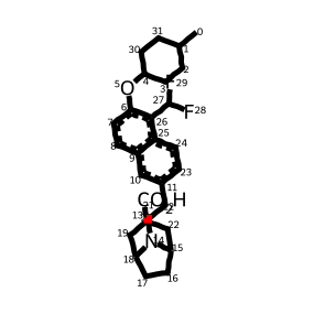 CC1CCC(Oc2ccc3cc(CCN4C5CCC4CC(C(=O)O)C5)ccc3c2C(F)F)CC1